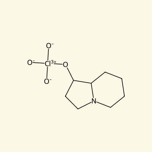 [O-][Cl+3]([O-])([O-])OC1CCN2CCCCC12